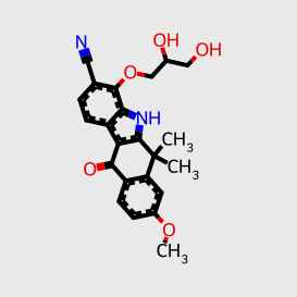 COc1ccc2c(c1)C(C)(C)c1[nH]c3c(OCC(O)CO)c(C#N)ccc3c1C2=O